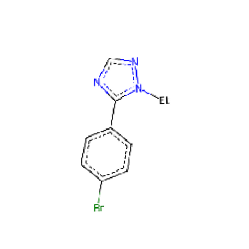 CCn1ncnc1-c1ccc(Br)cc1